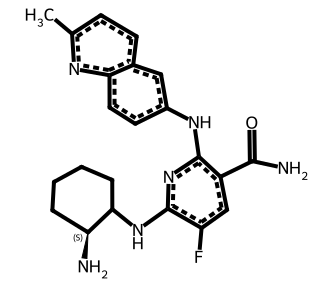 Cc1ccc2cc(Nc3nc(NC4CCCC[C@@H]4N)c(F)cc3C(N)=O)ccc2n1